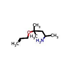 C=CCOC(C)(C)CC(C)N